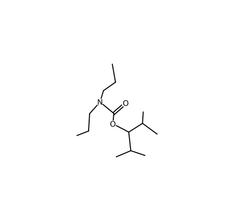 CCCN(CCC)C(=O)OC(C(C)C)C(C)C